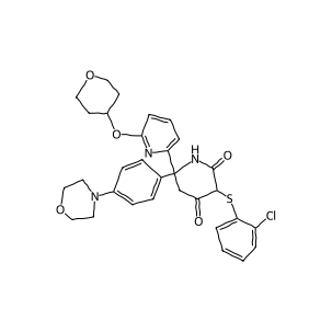 O=C1CC(c2ccc(N3CCOCC3)cc2)(c2cccc(OC3CCOCC3)n2)NC(=O)C1Sc1ccccc1Cl